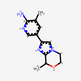 Cc1cc(-c2cn3c(n2)C(C)OCC3)cnc1N